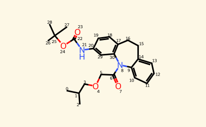 CC(C)COCC(=O)N1c2ccccc2CCc2ccc(NC(=O)OC(C)(C)C)cc21